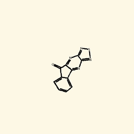 O=C1c2ccccc2-c2nc3nsnc3nc21